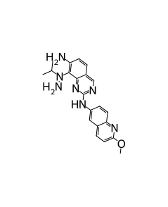 COc1ccc2cc(Nc3ncc4ccc(N)c(N(N)C(C)C)c4n3)ccc2n1